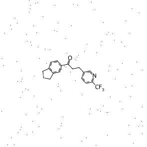 O=C(CCc1ccc(C(F)(F)F)nc1)c1ccc2c(c1)CCC2